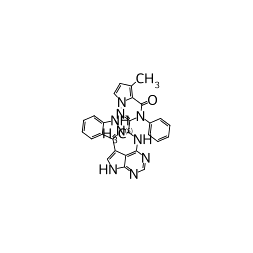 Cc1ccn2nc([C@H](C)Nc3ncnc4[nH]cc(-c5n[nH]c6ccccc56)c34)n(-c3ccccc3)c(=O)c12